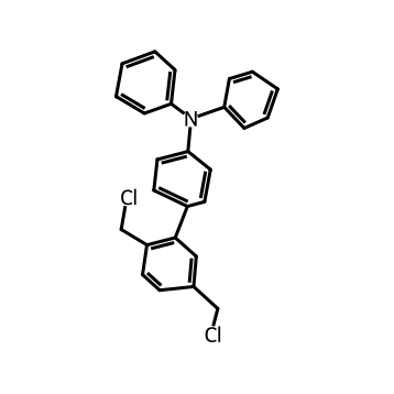 ClCc1ccc(CCl)c(-c2ccc(N(c3ccccc3)c3ccccc3)cc2)c1